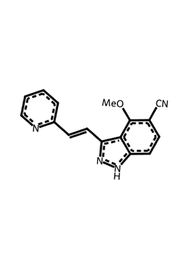 COc1c(C#N)ccc2[nH]nc(C=Cc3ccccn3)c12